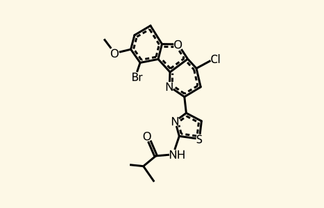 COc1ccc2oc3c(Cl)cc(-c4csc(NC(=O)C(C)C)n4)nc3c2c1Br